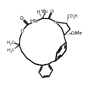 CO[C@@]12C[C@@H](C(=O)O)N(C1)C(=O)[C@H](C(C)(C)C)NC(=O)OCC(C)(C)CCCc1ccccc1-c1ccc2cc1